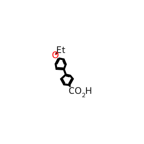 CCOc1ccc(-c2ccc(C(=O)O)cc2)cc1